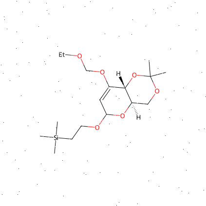 CCOCOC1=CC(OCC[Si](C)(C)C)O[C@@H]2COC(C)(C)O[C@@H]12